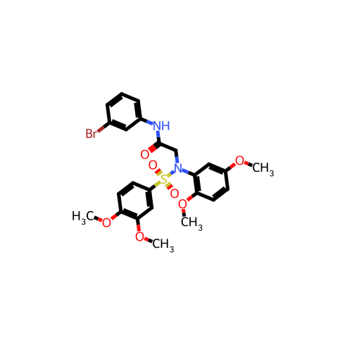 COc1ccc(OC)c(N(CC(=O)Nc2cccc(Br)c2)S(=O)(=O)c2ccc(OC)c(OC)c2)c1